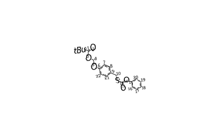 CC(C)(C)C(=O)OCOc1ccc(CSC(=O)Oc2ccccc2)cc1